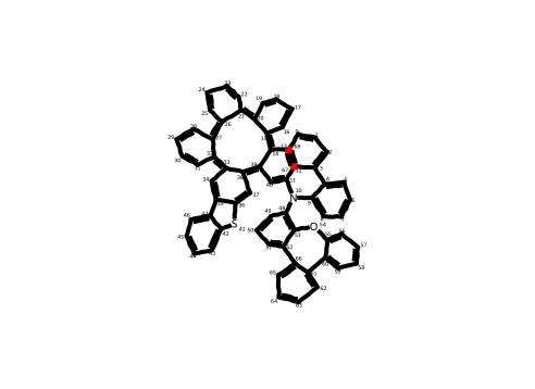 c1ccc(-c2ccccc2N(c2ccc3c4ccccc4c4ccccc4c4ccccc4c4cc5c(cc4c3c2)sc2ccccc25)c2cccc3c2Oc2ccccc2-c2ccccc2-3)cc1